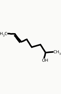 CC=CCCCC(C)O